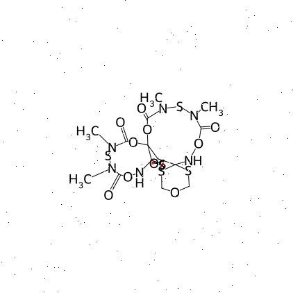 CN1SN(C)C(=O)OC2(CC3(NOC1=O)SCOCS3)OC(=O)N(C)SN(C)C(=O)ONC21SCOCS1